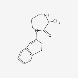 CC1NCCCN(C2=Cc3ccccc3CC2)C1=O